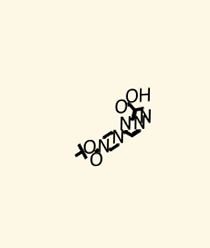 CC(C)(C)OC(=O)N1CCN(c2ccn3ncc(C(=O)O)c3n2)CC1